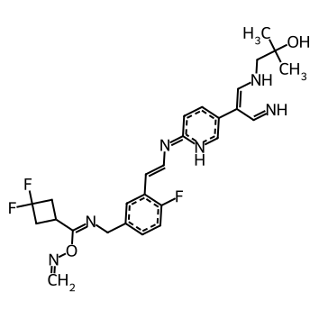 C=NO/C(=N\Cc1ccc(F)c(/C=C/N=c2/ccc(/C(C=N)=C/NCC(C)(C)O)c[nH]2)c1)C1CC(F)(F)C1